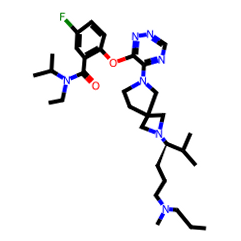 CCCN(C)CCC[C@H](C(C)C)N1CC2(CCN(c3ncnnc3Oc3ccc(F)cc3C(=O)N(CC)C(C)C)C2)C1